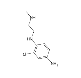 CNCCNc1ccc(N)cc1Cl